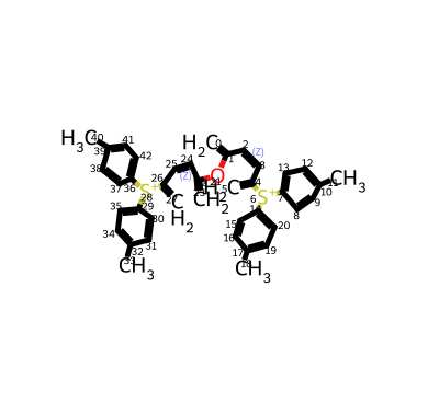 C=C(/C=C\C(=C)[S+](c1ccc(C)cc1)c1ccc(C)cc1)OC(=C)/C=C\C(=C)[S+](c1ccc(C)cc1)c1ccc(C)cc1